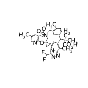 Cc1cnc2c(c1)S(=O)(=O)N(Cc1cc([C@H](c3ccn4c(C(F)F)nnc4c3C)C(C)(C)C(=O)O)ccc1C)CC1(CC1)O2